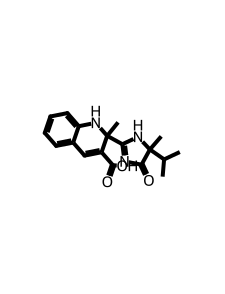 CC(C)C1(C)NC(C2(C)Nc3ccccc3C=C2C(=O)O)=NC1=O